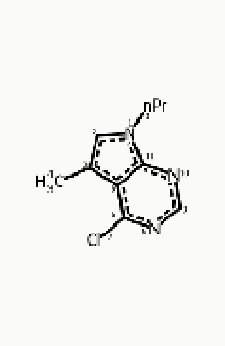 CCCn1cc(C)c2c(Cl)ncnc21